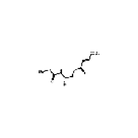 CCOC(=O)/C=C/C(=O)OC[C@@H](NC(=O)OC(C)(C)C)C(C)C